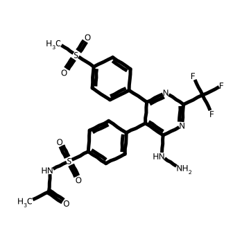 CC(=O)NS(=O)(=O)c1ccc(-c2c(NN)nc(C(F)(F)F)nc2-c2ccc(S(C)(=O)=O)cc2)cc1